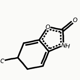 CC1C=c2oc(=O)[nH]c2=CC1